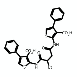 CCC(CC(=O)Nc1scc(-c2ccccc2)c1C(=O)O)C(=O)Nc1scc(-c2ccccc2)c1C(=O)O